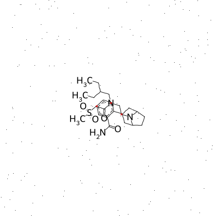 CCC(CC)CN(CCN1C2CCC1CC(c1ccccc1C(N)=O)C2)C(=O)CS(C)(=O)=O